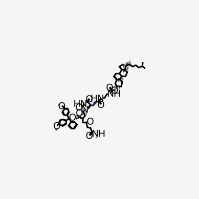 CNC(=O)CCC(=O)CC1C[C@H](n2cc(/C=C/C(=O)NCCNC(=O)O[C@H]3CC[C@@]4(C)C(=CCC5C4CC[C@@]4(C)C5CC[C@@H]4[C@H](C)CCCC(C)C)C3)c(=O)[nH]c2=O)O[C@@H]1COC(c1ccccc1)(c1ccc(OC)cc1)c1ccc(OC)cc1